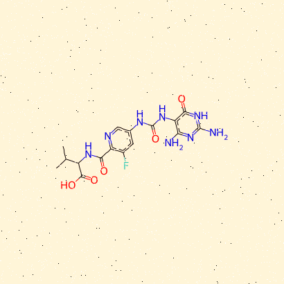 CC(C)C(NC(=O)c1ncc(NC(=O)Nc2c(N)nc(N)[nH]c2=O)cc1F)C(=O)O